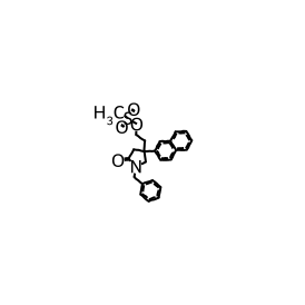 CS(=O)(=O)OCCC1(c2ccc3ccccc3c2)CC(=O)N(Cc2ccccc2)C1